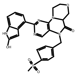 CS(=O)(=O)c1ccc(CN2C(=O)C3COCCN3c3nc(-c4cccc5[nH]c(O)cc45)ncc32)cc1